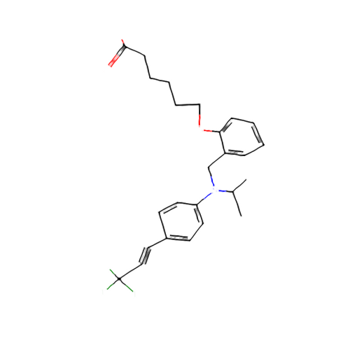 CC(C)N(Cc1ccccc1OCCCCCC(=O)O)c1ccc(C#CC(F)(F)F)cc1